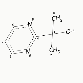 CC(C)([O])c1ncccn1